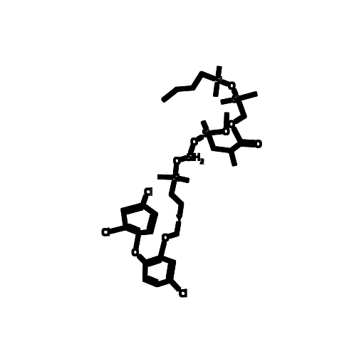 CCCC[Si](C)(C)O[Si](C)(C)COC(=O)C(C)C[Si](C)(OC)O[SiH2]O[Si](C)(C)C[CH2][Y][CH2]Oc1cc(Cl)ccc1Oc1ccc(Cl)cc1Cl